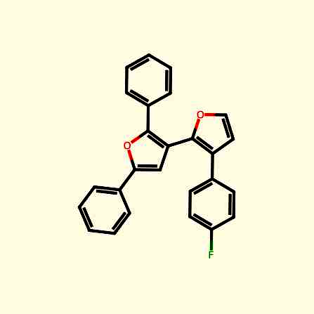 Fc1ccc(-c2ccoc2-c2cc(-c3ccccc3)oc2-c2ccccc2)cc1